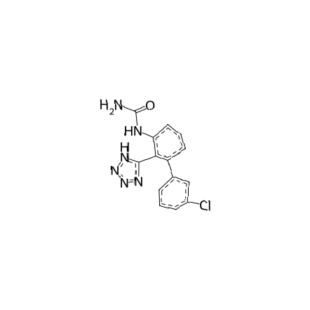 NC(=O)Nc1cccc(-c2cccc(Cl)c2)c1-c1nnn[nH]1